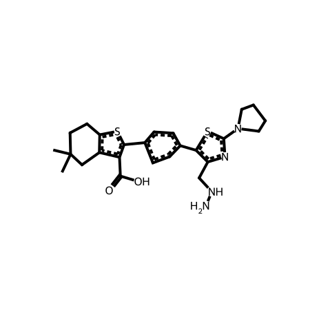 CC1(C)CCc2sc(-c3ccc(-c4sc(N5CCCC5)nc4CNN)cc3)c(C(=O)O)c2C1